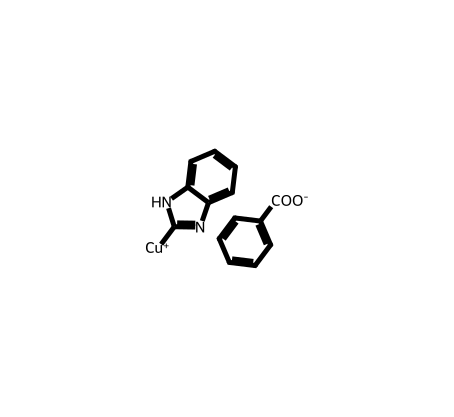 O=C([O-])c1ccccc1.[Cu+][c]1nc2ccccc2[nH]1